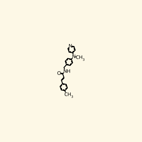 Cc1ccc(C=CC(=O)NCc2ccc(N(C)c3ccncc3)cc2)cc1